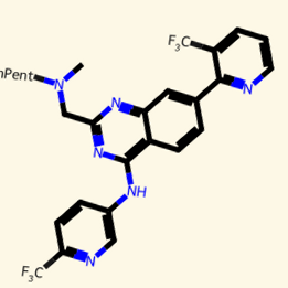 CCCCCN(C)Cc1nc(Nc2ccc(C(F)(F)F)nc2)c2ccc(-c3ncccc3C(F)(F)F)cc2n1